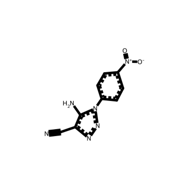 N#Cc1nnn(-c2ccc([N+](=O)[O-])cc2)c1N